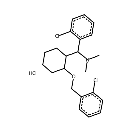 CN(C)C(c1ccccc1Cl)C1CCCCC1OCc1ccccc1Cl.Cl